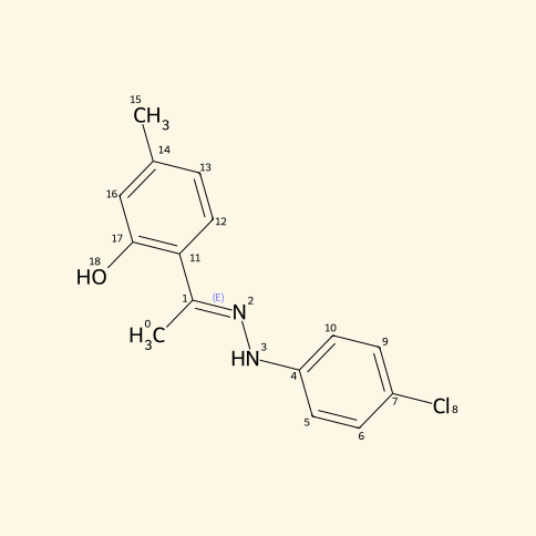 C/C(=N\Nc1ccc(Cl)cc1)c1ccc(C)cc1O